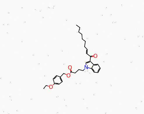 CCCCCCCC=CC(=O)c1cn(CCCC(=O)OCc2ccc(OCC)cc2)c2ccccc12